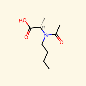 CCCCN(C(C)=O)[C@@H](C)C(=O)O